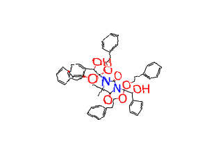 CC1(C)C(=O)N(C(OCCc2ccccc2)(OCCc2ccccc2)C(O)c2ccccc2)C(=O)N1C(OCCc1ccccc1)(OCCc1ccccc1)C(O)c1ccccc1